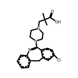 CC(C)(CN1CCN(C2=Nc3ccccc3Cc3cc(Cl)ccc32)CC1)C(=O)O